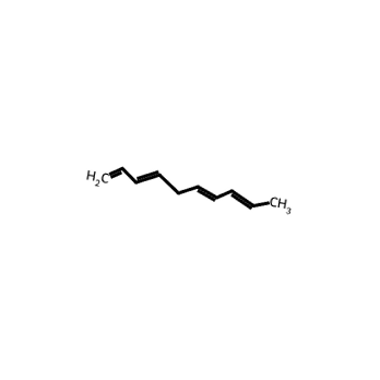 C=CC=CCC=CC=CC